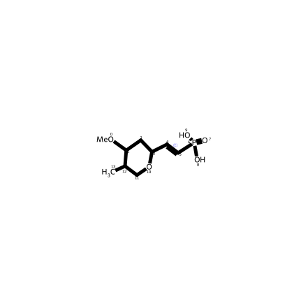 COC1CC(/C=C/P(=O)(O)O)OCC1C